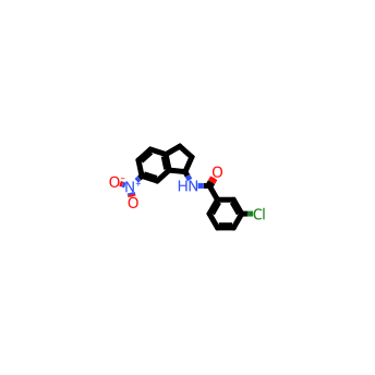 O=C(NC1CCc2ccc([N+](=O)[O-])cc21)c1cccc(Cl)c1